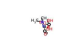 CCCON(CCC)C(=O)CN1C[C@H](c2ccc3c(c2)CCO3)[C@@H](C(=O)O)[C@@H]1Cc1ccccc1CO